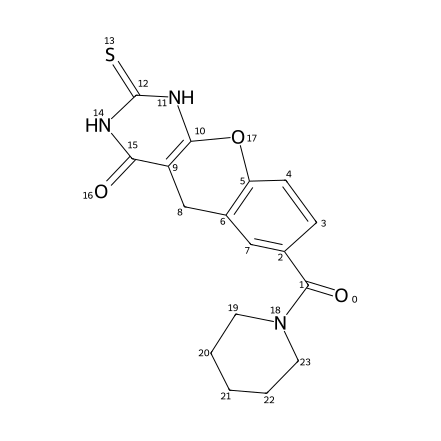 O=C(c1ccc2c(c1)Cc1c([nH]c(=S)[nH]c1=O)O2)N1CCCCC1